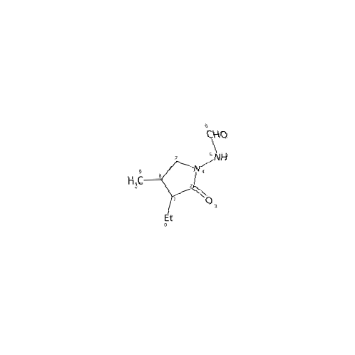 CCC1C(=O)N(NC=O)CC1C